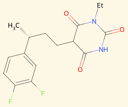 CCN1C(=O)NC(=O)C(CC[C@@H](C)c2ccc(F)c(F)c2)C1=O